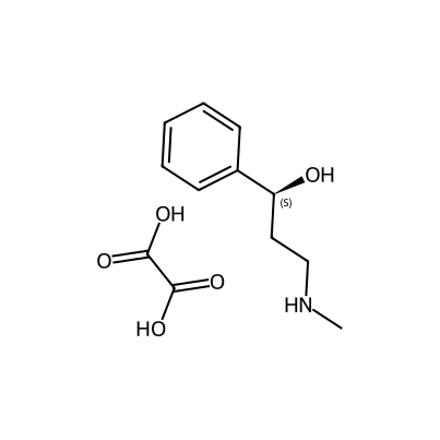 CNCC[C@H](O)c1ccccc1.O=C(O)C(=O)O